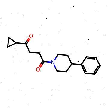 O=C(CCC(=O)N1CCC(c2ccccc2)CC1)C1CC1